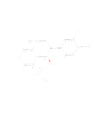 CNCC(c1ccc(Cl)c(Cl)c1)[C@@H](O)c1ccccc1S(C)(=O)=O